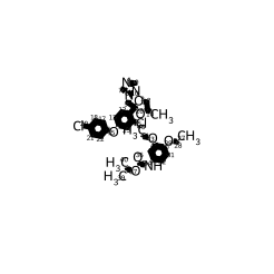 CC1COC(Cn2cncn2)(c2ccc(Oc3ccc(Cl)cc3)cc2Cl)O1.CCOc1ccc(NC(=O)OC(C)C)cc1OCC